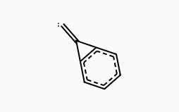 [C]=C1c2ccccc21